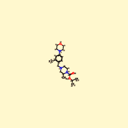 CC1CN(Cc2ccc(N3CCOCC3)cc2C(F)(F)F)CCN1C(=O)OC(C(F)(F)F)C(F)(F)F